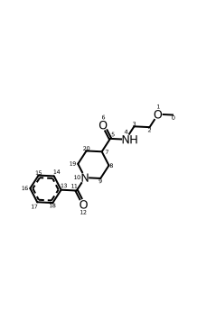 COCCNC(=O)C1CCN(C(=O)c2ccccc2)CC1